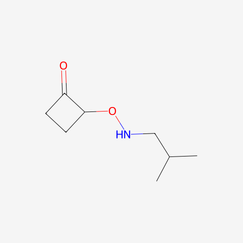 CC(C)CNOC1CCC1=O